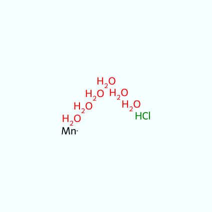 Cl.O.O.O.O.O.O.[Mn]